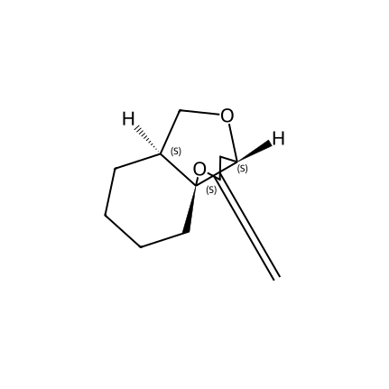 C=C1C[C@@H]2OC[C@@H]3CCCC[C@]32O1